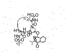 CC(C)n1nc(O[C@@H]2C[C@H]3C(=O)N[C@]4(C(=O)NS(=O)(=O)C5(C)CC5)C[C@H]4C=CCC[C@H](C)C[C@@H](C)[C@H](NC(=O)O)C(=O)N3C2)c2ccccc2c1=O